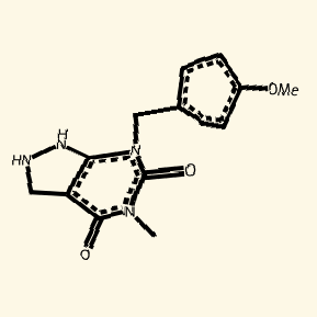 COc1ccc(Cn2c3c(c(=O)n(C)c2=O)CNN3)cc1